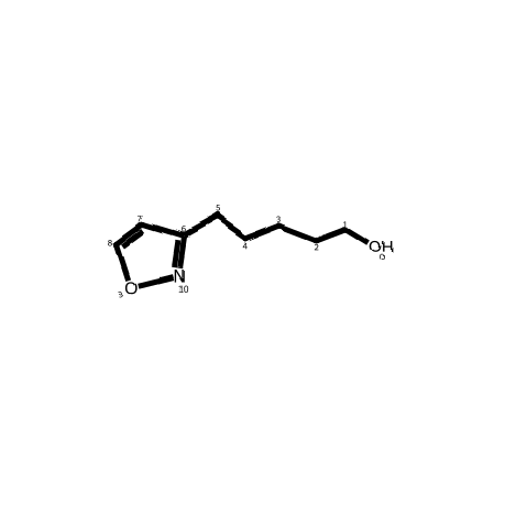 OCCCCCc1ccon1